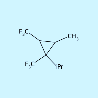 CC(C)C1(C(F)(F)F)C(C)C1C(F)(F)F